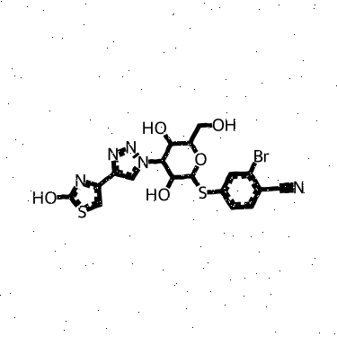 N#Cc1ccc(SC2OC(CO)C(O)C(n3cc(-c4csc(O)n4)nn3)C2O)cc1Br